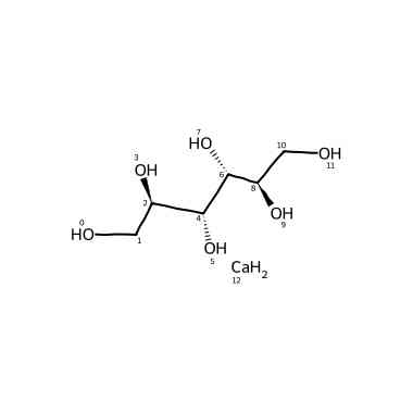 OC[C@@H](O)[C@@H](O)[C@H](O)[C@H](O)CO.[CaH2]